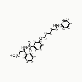 O=C(O)CC(NS(=O)(=O)c1cccc(OCCCCCNc2ccccn2)c1)c1ccccc1